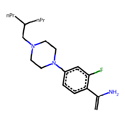 C=C(N)c1ccc(N2CCN(CC(CCC)CCC)CC2)cc1F